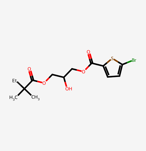 CCC(C)(C)C(=O)OCC(O)COC(=O)c1ccc(Br)s1